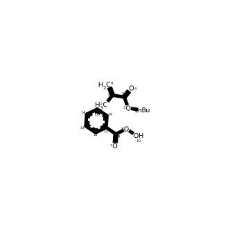 C=C(C)C(=O)OCCCC.O=C(OO)c1ccccc1